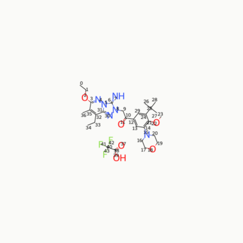 CCOc1nn2c(=N)n(CC(=O)c3cc(N4CCOCC4)c(OC)c(C(C)(C)C)c3)nc2c(CC)c1C.O=C(O)C(F)(F)F